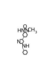 Cn1c(=O)[nH]c2cc(-c3cncc(NCc4ccccc4)c3)ccc21